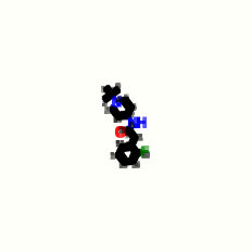 CC(C)(C)N1C=CC(NC(=O)Cc2ccccc2F)=CC1